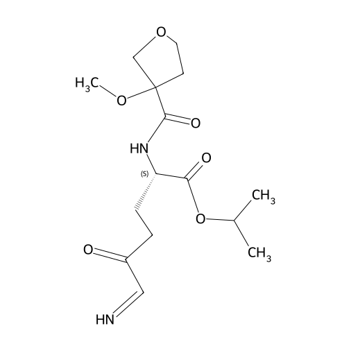 COC1(C(=O)N[C@@H](CCC(=O)C=N)C(=O)OC(C)C)CCOC1